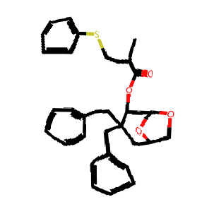 CC(CSc1ccccc1)C(=O)OC1C2OCC(CC1(Cc1ccccc1)Cc1ccccc1)O2